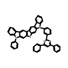 c1ccc(-c2cc(-c3ccccc3)nc(-c3cccc(-n4c5ccccc5c5cc6c(cc54)sc4cc5c(cc46)c4ccccc4n5-c4ccccc4)c3)n2)cc1